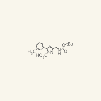 Cc1cccc(-c2sc(CNC(=O)OC(C)(C)C)nc2C(=O)O)c1